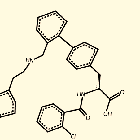 O=C(N[C@@H](Cc1ccc(-c2ccccc2CNCCc2ccccc2)cc1)C(=O)O)c1ccccc1Cl